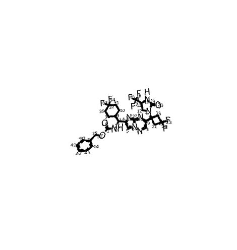 O=C(NC(c1cn2ncc(C3(N4CC(C(F)(F)F)NC4=O)CC(F)(F)C3)nc2n1)C1CCC(F)(F)CC1)OCc1ccccc1